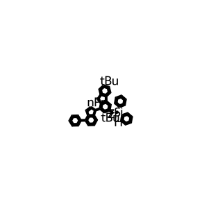 CCCC1=Cc2c(-c3ccccc3)cccc2C1c1c2c(c[c]([Zr][SiH](c3ccccc3)c3ccccc3)c1C(C)(C)C)-c1ccc(C(C)(C)C)cc1C2